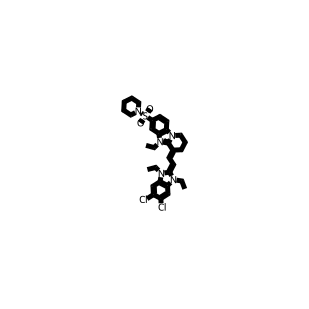 CCN1C(=CC=C2CCCn3c2[n+](CC)c2cc(S(=O)(=O)N4CCCCC4)ccc23)N(CC)c2cc(Cl)c(Cl)cc21